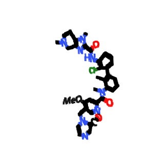 COc1cc(C(=O)N(C)c2cccc(-c3cccc(NC(=O)c4nc5c(n4C)CCN(C)C5)c3Cl)c2C)ncc1CN1C=CN=CC1=C=O